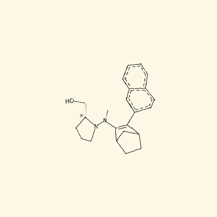 CN(C1=C(c2ccc3ccccc3c2)C2CCC1C2)N1CCC[C@@H]1CO